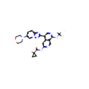 BC(B)(B)Nc1ncc(-c2nc3ccc(N4CCOCC4)cn3n2)c2cc(NC(=O)C3(F)CC3)ncc12